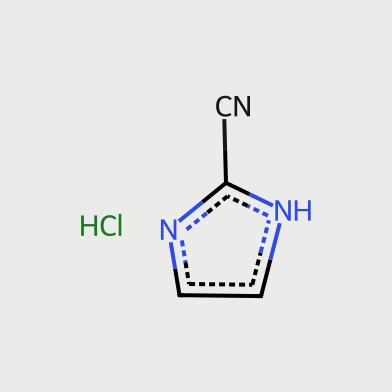 Cl.N#Cc1ncc[nH]1